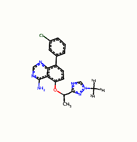 [2H]C([2H])([2H])n1cnc(C(C)Oc2ccc(-c3cccc(Cl)c3)c3ncnc(N)c23)n1